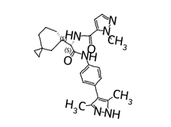 Cc1n[nH]c(C)c1-c1ccc(NC(=O)[C@@H](NC(=O)c2ccnn2C)[C@H]2CCCC3(CC3)C2)cc1